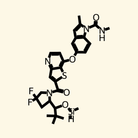 CNC(=O)n1c(C)cc2cc(Oc3ccnc4cc(C(=O)N5CC(F)(F)CC5C(O[SiH](C)C)C(C)(C)C)sc34)ccc21